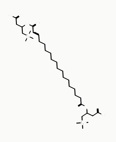 C[N+](C)(C)CC(CC(=O)[O-])OC(=O)C=CCCCCCCCCCCCCCCC(=O)OC(CC(=O)[O-])C[N+](C)(C)C